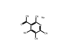 N#CC(=O)c1c(C#N)nc(C#N)c(C#N)c1C#N.[Na]